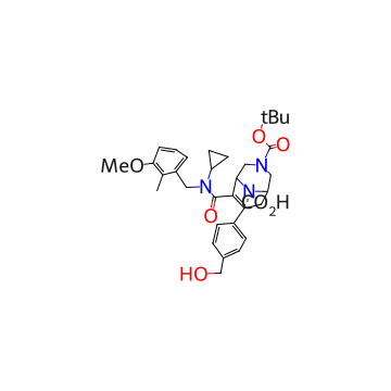 COc1cccc(CN(C(=O)C2=C(c3ccc(CO)cc3)CC3CN(C(=O)OC(C)(C)C)CC2N3C(=O)O)C2CC2)c1C